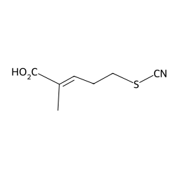 CC(=CCCSC#N)C(=O)O